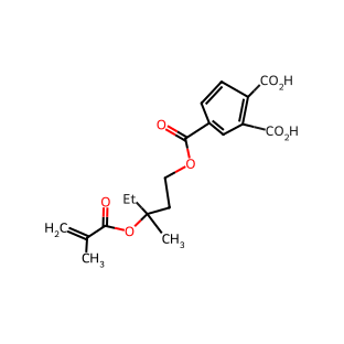 C=C(C)C(=O)OC(C)(CC)CCOC(=O)c1ccc(C(=O)O)c(C(=O)O)c1